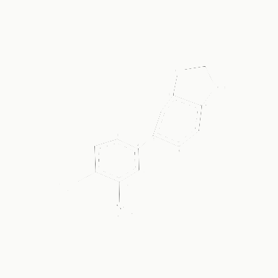 O=C(O)c1ccc(-c2ccc3c(c2)OCO3)cc1[N+](=O)[O-]